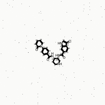 O=C(N[C@H]1CCNC[C@H]1NC(=O)c1ccc2c(Cl)c[nH]c2c1)c1ccc(-n2ccccc2=O)cc1